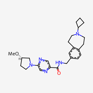 CO[C@H]1CCN(c2cnc(C(=O)NCc3ccc4c(c3)CCN(C3CCC3)CC4)cn2)C1